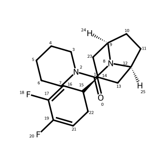 O=C(N1CCCCC1)N1[C@@H]2CC[C@H]1C[C@@H](C1C=C(F)C(F)=CC1)C2